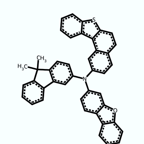 CC1(C)c2ccccc2-c2cc(N(c3ccc4c(c3)oc3ccccc34)c3ccc4ccc5sc6ccccc6c5c4c3)ccc21